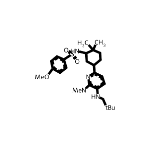 CNc1nc(C2CCC(C)(C)C(NS(=O)(=O)c3ccc(OC)cc3)C2)ccc1NCC(C)(C)C